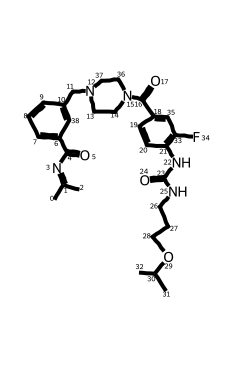 CC(C)=NC(=O)c1cccc(CN2CCN(C(=O)c3ccc(NC(=O)NCCCOC(C)C)c(F)c3)CC2)c1